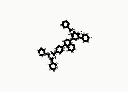 c1ccc(-c2nc3c(o2)c(-c2ccc(-c4ccc(-c5nc(-c6cccnc6)nc(-c6cccnc6)n5)cc4)c4ccccc24)cc2c4ccccc4oc23)cc1